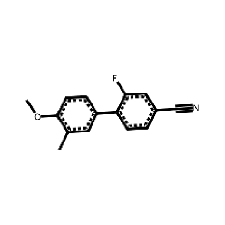 COc1ccc(-c2ccc(C#N)cc2F)cc1C